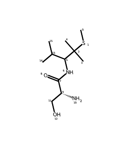 CSC(C)(C)C(NC(=O)[C@H](N)CO)C(C)C